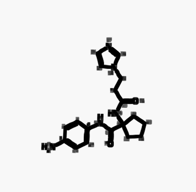 Nc1ccc(NC(=O)C2(NC(=O)CCn3ccnc3)CCCC2)cc1